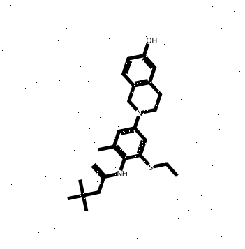 C=C(CC(C)(C)C)Nc1c(C)cc(N2CCc3cc(O)ccc3C2)cc1SCC